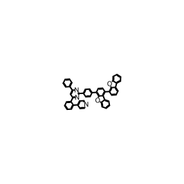 c1ccc(-c2cc(-c3ccccc3-c3ccncc3)nc(-c3ccc(-c4ccc(-c5cccc6c5oc5ccccc56)c5c4oc4ccccc45)cc3)n2)cc1